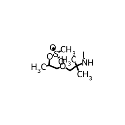 CC(COCC(C)(C)NI)OS(C)(=O)=O